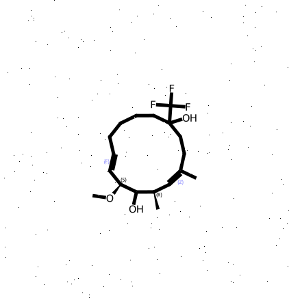 CO[C@H]1/C=C/CCCCC(O)(C(F)(F)F)CC/C(C)=C\[C@@H](C)C1O